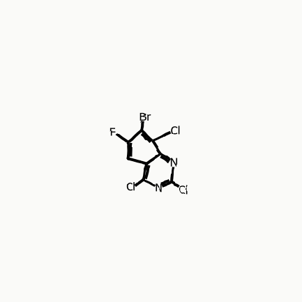 Fc1cc2c(Cl)nc(Cl)nc2c(Cl)c1Br